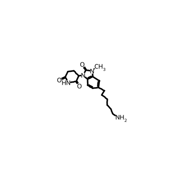 Cn1c(=O)n(C2CCC(=O)NC2=O)c2ccc(CCCCCCN)cc21